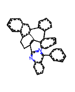 c1ccc(-c2nc(C3=C4c5ccccc5-c5ccccc5-c5cc6ccccc6c(c54)CC3)nc3ccccc23)cc1